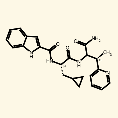 C[C@@H](c1ccccn1)C(NC(=O)[C@H](CC1CC1)NC(=O)c1cc2ccccc2[nH]1)C(N)=O